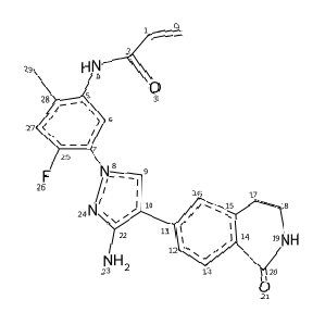 C=CC(=O)Nc1cc(-n2cc(-c3ccc4c(c3)CCNC4=O)c(N)n2)c(F)cc1C